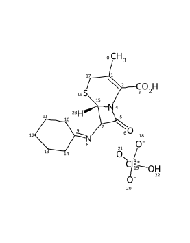 CC1=C(C(=O)O)N2C(=O)C(N=C3CCCCC3)[C@@H]2SC1.[O-][Cl+3]([O-])([O-])O